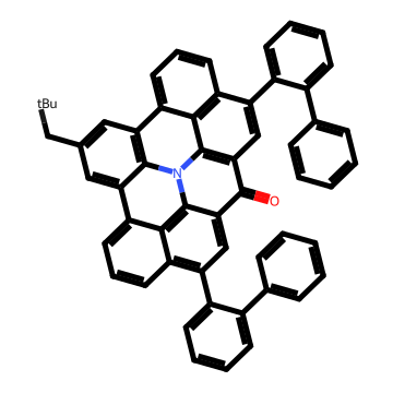 CC(C)(C)Cc1cc2c3cccc4c(-c5ccccc5-c5ccccc5)cc5c(=O)c6cc(-c7ccccc7-c7ccccc7)c7cccc8c(c1)c2n(c5c43)c6c78